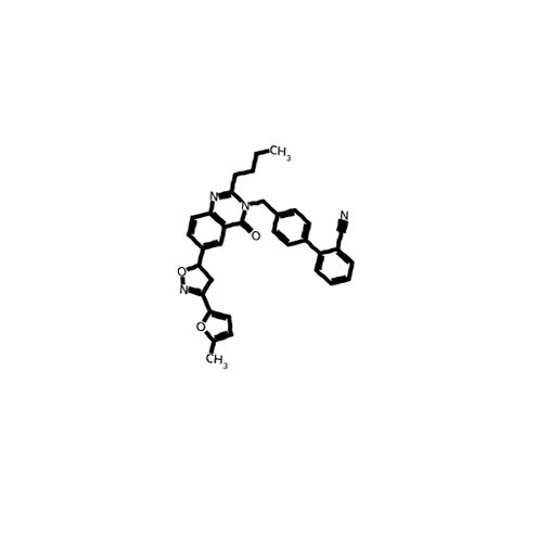 CCCCc1nc2ccc(C3CC(c4ccc(C)o4)=NO3)cc2c(=O)n1Cc1ccc(-c2ccccc2C#N)cc1